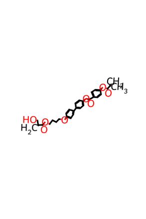 C=C(C)C(=O)Oc1ccc(C(=O)Oc2ccc(-c3ccc(OCCCCOC(=O)C(=C)CO)cc3)cc2)cc1